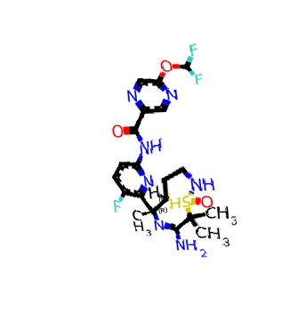 CC1(C)C(N)=N[C@](C)(c2nc(NC(=O)c3cnc(OC(F)F)cn3)ccc2F)[C@H]2CCN[SH]21=O